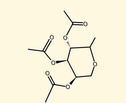 CC(=O)O[C@H]1[C@H](OC(C)=O)C(C)OC[C@H]1OC(C)=O